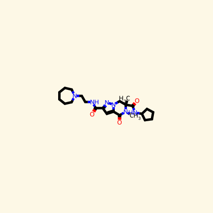 CN1C(=O)c2cc(C(=O)NCCN3CCCCCC3)nn2CC1(C)C(=O)NC1CCCC1